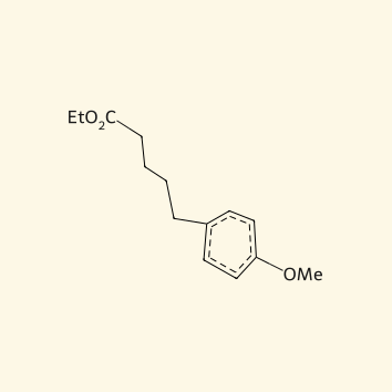 CCOC(=O)CCCCc1ccc(OC)cc1